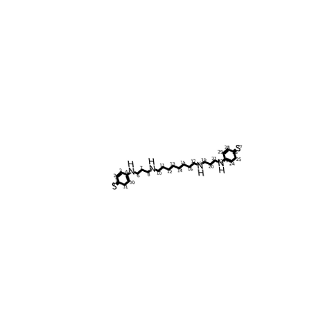 S=C1C=CC(NCCCNCCCCCCCCNCCCNC2=CCC(=S)C=C2)=CC1